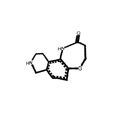 O=C1CCOc2ccc3c(c2N1)CCNC3